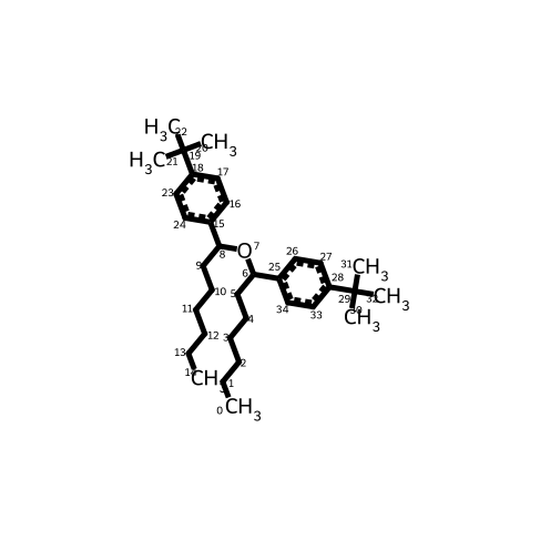 CCCCCCC(OC(CCCCCC)c1ccc(C(C)(C)C)cc1)c1ccc(C(C)(C)C)cc1